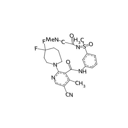 CNCC(=O)N=[S@](C)(=O)c1cccc(NC(=O)c2c(N3CCCC(F)(F)CC3)ncc(C#N)c2C)c1